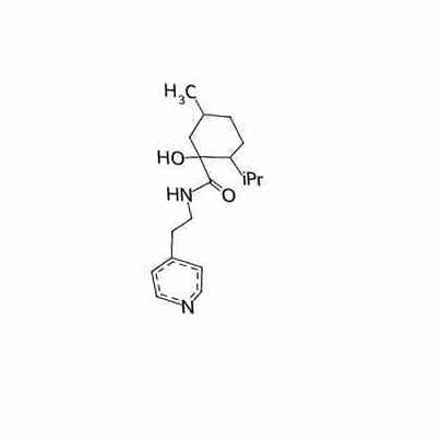 CC1CCC(C(C)C)C(O)(C(=O)NCCc2ccncc2)C1